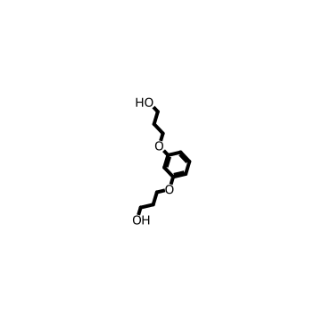 OCCCOc1cccc(OCCCO)c1